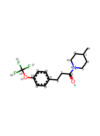 CC1CCN(C(=O)CCc2ccc(OC(F)(F)F)cc2)CC1